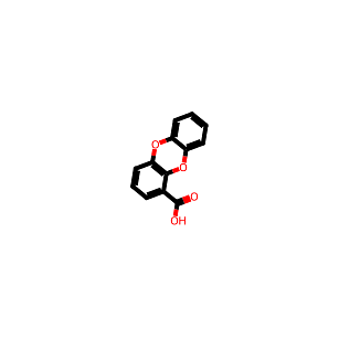 O=C(O)c1cccc2c1Oc1ccccc1O2